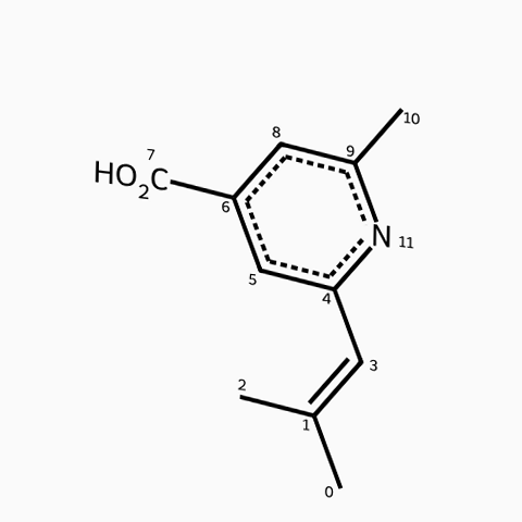 CC(C)=Cc1cc(C(=O)O)cc(C)n1